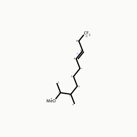 COC(C)C(C)CCC/C=C/CC(F)(F)F